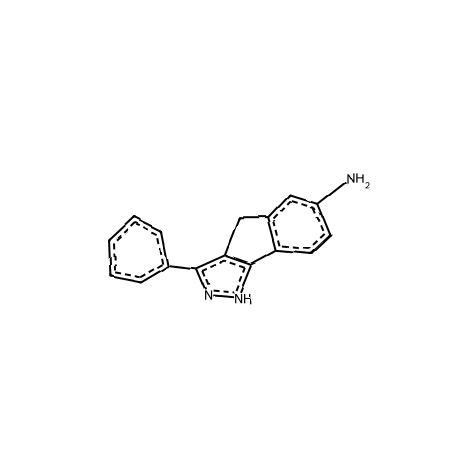 Nc1ccc2c(c1)Cc1c(-c3ccccc3)n[nH]c1-2